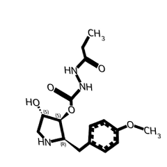 CCC(=O)NNC(=O)O[C@@H]1[C@@H](O)CN[C@@H]1Cc1ccc(OC)cc1